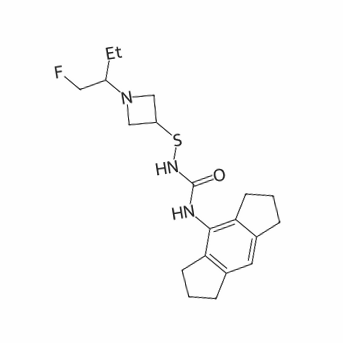 CCC(CF)N1CC(SNC(=O)Nc2c3c(cc4c2CCC4)CCC3)C1